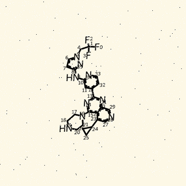 FC(F)(F)Cn1ccc(Nc2cc(-c3nc(N4CCNCC4)c4c(C5CC5)cncc4n3)ccn2)n1